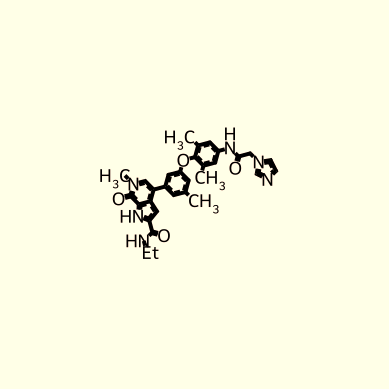 CCNC(=O)c1cc2c(-c3cc(C)cc(Oc4c(C)cc(NC(=O)Cn5ccnc5)cc4C)c3)cn(C)c(=O)c2[nH]1